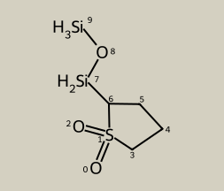 O=S1(=O)CCCC1[SiH2]O[SiH3]